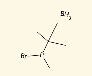 B.CP(Br)C(C)(C)C